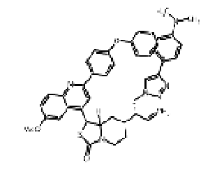 C=C[C@@H](Cn1cc(-c2ccc(N(C)C)cc2)nn1)[C@H]1CCN2C(=O)S[C@@H](c3cc(-c4ccc(Oc5ccccc5)cc4)nc4ccc(OC)cc34)[C@@H]2C1